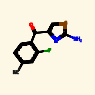 N#Cc1ccc(C(=O)c2csc(N)n2)c(F)c1